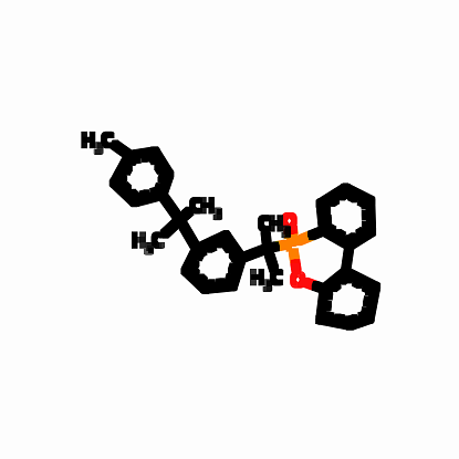 Cc1ccc(C(C)(C)c2cccc(C(C)(C)P3(=O)Oc4ccccc4-c4ccccc43)c2)cc1